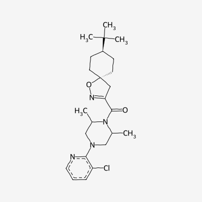 CC1CN(c2ncccc2Cl)CC(C)N1C(=O)C1=NO[C@]2(CC[C@H](C(C)(C)C)CC2)C1